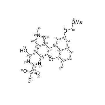 CCc1c(F)ccc2cc(OCOC)cc(-c3cc4nc(S(=O)(=O)CC)nc(O)c4c4cn(C)nc34)c12